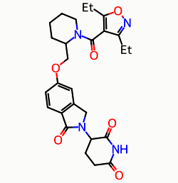 CCc1noc(CC)c1C(=O)N1CCCCC1COc1ccc2c(c1)CN(C1CCC(=O)NC1=O)C2=O